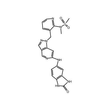 CN(c1ncccc1Cn1ncc2cnc(Nc3ccc4[nH]c(=O)[nH]c4c3)cc21)S(C)(=O)=O